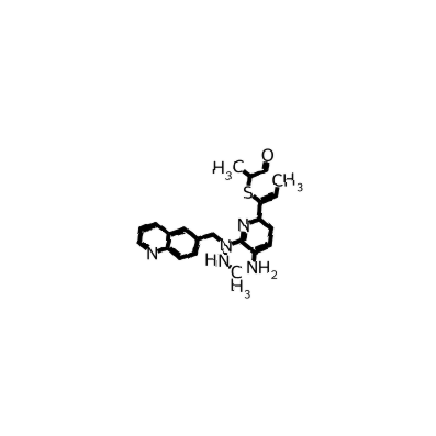 C/C=C(\SC(C)C=O)C1CC=C(N)C(N(CC2C=c3cccnc3=CC2)NC)=N1